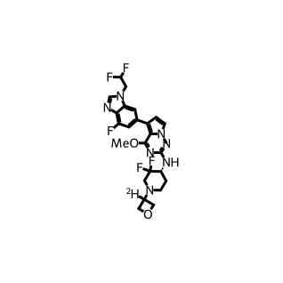 [2H]C1(N2CC[C@@H](Nc3nc(OC)c4c(-c5cc(F)c6ncn(CC(F)F)c6c5)ccn4n3)C(F)(F)C2)COC1